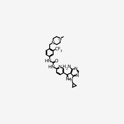 CN1CCN(Cc2ccc(NC(=O)Nc3ccc(-c4nn(C5CC5)c5ncnc(N)c45)cn3)cc2C(F)(F)F)CC1